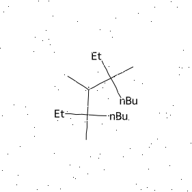 CCCCC(C)(CC)[C](C)C(C)(CC)CCCC